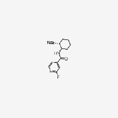 N#C[C@@H]1CCCC[C@H]1NC(=O)c1ccnc(F)c1